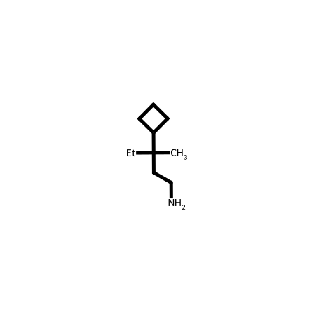 CCC(C)(CCN)C1CCC1